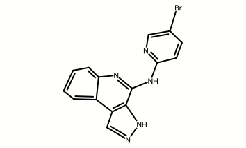 Brc1ccc(Nc2nc3ccccc3c3cn[nH]c23)nc1